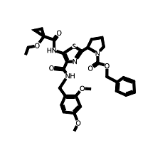 CCOC1(C(=O)Nc2sc(C3CCCN3C(=O)OCc3ccccc3)nc2C(=O)NCc2ccc(OC)cc2OC)CC1